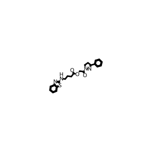 O=C(CCCNc1nc2ccccc2s1)OCC(=O)N1CCC(c2ccccc2)=N1